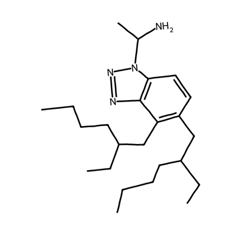 CCCCC(CC)Cc1ccc2c(nnn2C(C)N)c1CC(CC)CCCC